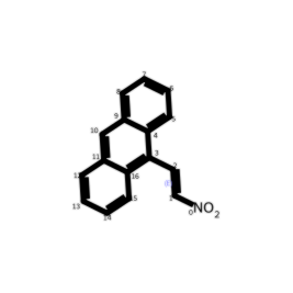 O=[N+]([O-])/C=C/c1c2ccccc2cc2ccccc12